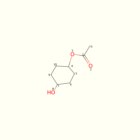 CC(=O)OC1CCC(O)CC1